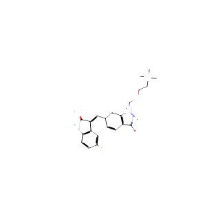 C[Si](C)(C)CCOCn1nc(I)c2c1CC(/C=C1/C(=O)Nc3ccc(F)cc31)C=C2